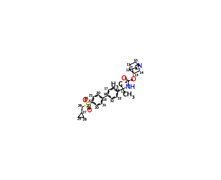 CC(C)(NC(=O)OC1CN2CCC1CC2)c1ccc(-c2ccc(S(=O)(=O)CC3CC3)cc2)cc1